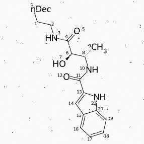 CCCCCCCCCCCCNC(=O)[C@H](O)[C@H](C)NC(=O)c1cc2ccccc2[nH]1